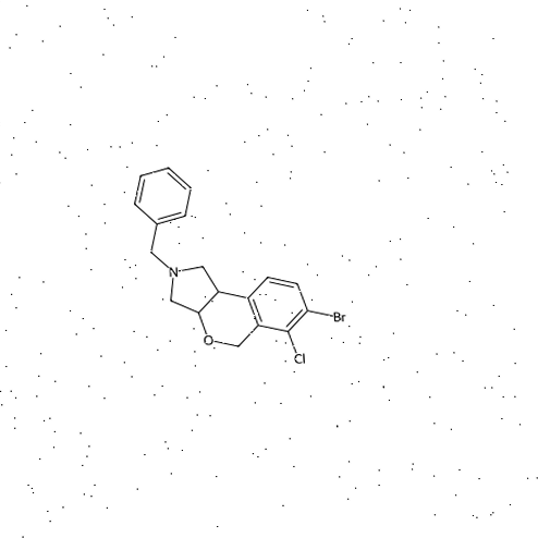 Clc1c(Br)ccc2c1COC1CN(Cc3ccccc3)CC21